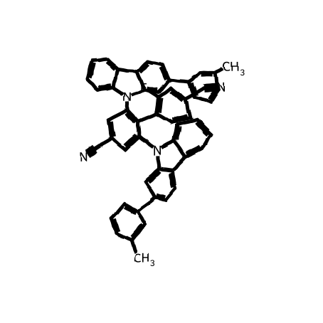 Cc1cccc(-c2ccc3c4ccccc4n(-c4cc(C#N)cc(-n5c6ccccc6c6ccc(-c7cccc(C)c7)cc65)c4-c4ccc(C#N)cc4F)c3c2)c1